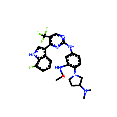 CC(=O)Nc1cc(Nc2ncc(C(F)(F)F)c(-c3c[nH]c4c(F)cccc34)n2)ccc1N1CCC(N(C)C)C1